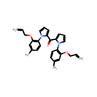 C=CCOc1cc(C)ccc1-n1cccc1C(=O)c1cccn1-c1ccc(C)cc1OCC=C